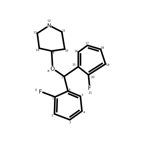 Fc1ccccc1C(OC1CC[N]CC1)c1ccccc1F